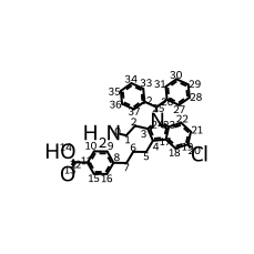 NCCc1c(CCCc2ccc(C(=O)O)cc2)c2cc(Cl)ccc2n1C(c1ccccc1)c1ccccc1